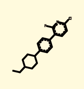 CCC1CCC(c2ccc(-c3ccc(Cl)nc3F)cc2)CC1